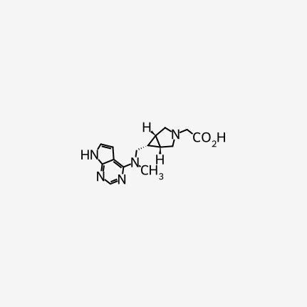 CN(C[C@@H]1[C@@H]2CN(CC(=O)O)C[C@@H]21)c1ncnc2[nH]ccc12